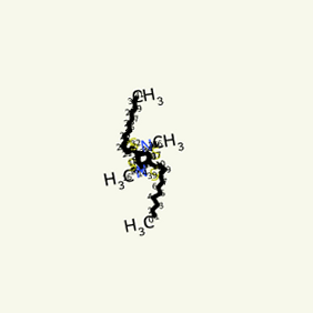 CCCCCCCCc1ccc(-c2c3nc(C)sc3c(-c3ccc(CCCCCCCC)s3)c3nc(C)sc23)s1